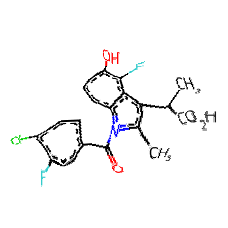 Cc1c(C(C)C(=O)O)c2c(F)c(O)ccc2n1C(=O)c1ccc(Cl)c(F)c1